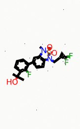 CN1c2cc(-c3cccc(C(C)(C)O)c3F)ccc2N(CC2CC2(F)F)S1(=O)=O